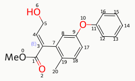 COC(=O)/C(=C/CO)c1cc(Oc2ccccc2)ccc1C